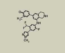 Cn1cc(-c2cc(F)c(Nc3cc(-c4ccc(=O)n(C)c4)cc4c3CNCC4)cc2C(F)F)cn1